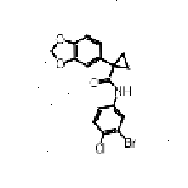 O=C(Nc1ccc(Cl)c(Br)c1)C1(c2ccc3c(c2)OCO3)CC1